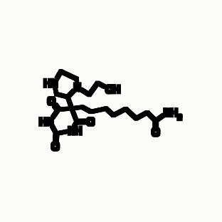 NC(=O)CCCCCCCC1(C2CNCCN2CCO)C(=O)NC(=O)NC1=O